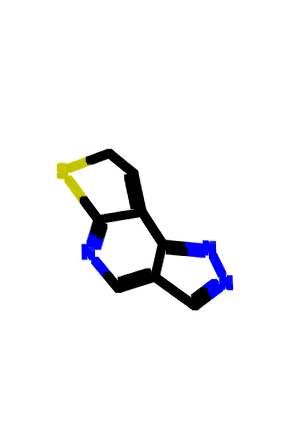 C1=NN=c2c1cnc1c2=CCS1